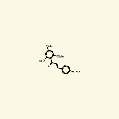 COc1ccc(/C=C/C(=O)c2c(OC)cc(OC)cc2OC(C)=O)cc1